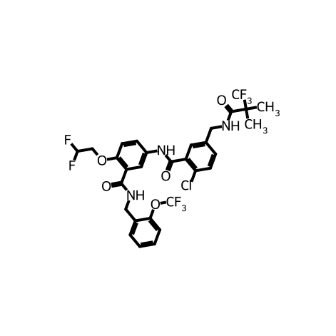 CC(C)(C(=O)NCc1ccc(Cl)c(C(=O)Nc2ccc(OCC(F)F)c(C(=O)NCc3ccccc3OC(F)(F)F)c2)c1)C(F)(F)F